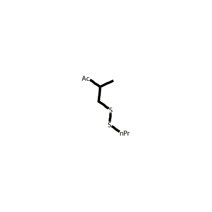 CCCSSCC(C)C(C)=O